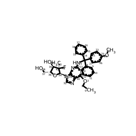 CCOc1nc(NC(c2ccccc2)(c2ccccc2)c2ccc(OC)cc2)nc2c1ncn2[C@H]1O[C@H](CO)[C@@H](O)[C@@]1(C)F